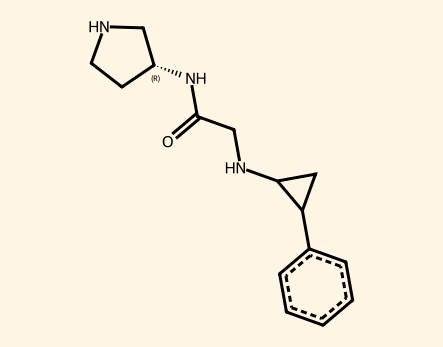 O=C(CNC1CC1c1ccccc1)N[C@@H]1CCNC1